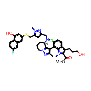 COC(=O)c1c(CCCO)c2ccc(Cl)c(-c3c(C)nn4c3[C@H](N(C)Cc3cc(CSc5cc(O)c6ccc(F)cc6c5)n(C)n3)CCC4)c2n1C